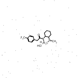 CN(C)C1CCCCC1N(C)C(=O)Cc1ccc(C(F)(F)F)cc1.Cl